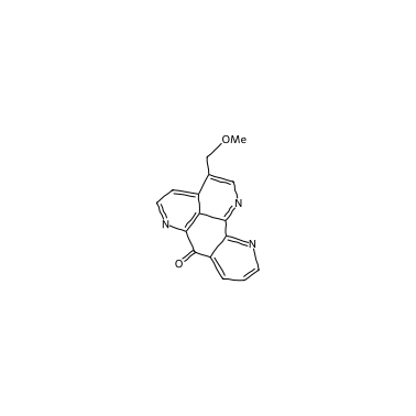 COCc1cnc2c3c(nccc13)C(=O)c1cccnc1-2